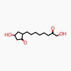 O=C(CO)CCCCCCC1CC(O)CC1=O